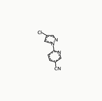 N#Cc1ccc(-n2cc(Cl)cn2)nc1